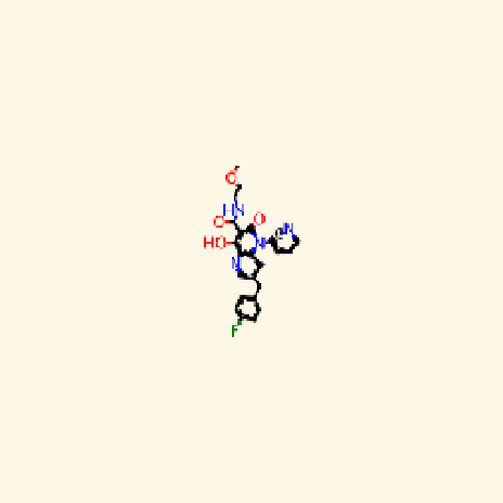 COCCNC(=O)c1c(O)c2ncc(Cc3ccc(F)cc3)cc2n(-c2cccnc2)c1=O